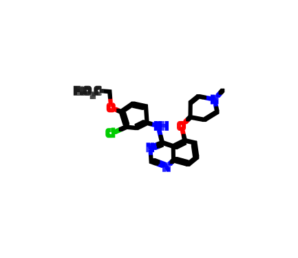 CCOC(=O)COc1ccc(Nc2ncnc3cccc(OC4CCN(C)CC4)c23)cc1Cl